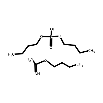 CCCCOP(=O)(O)OCCCC.CCCCSC(=N)N